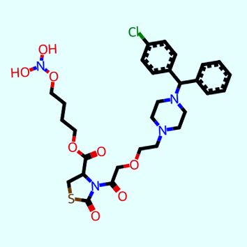 O=C(OCCCCON(O)O)C1CSC(=O)N1C(=O)COCCN1CCN(C(c2ccccc2)c2ccc(Cl)cc2)CC1